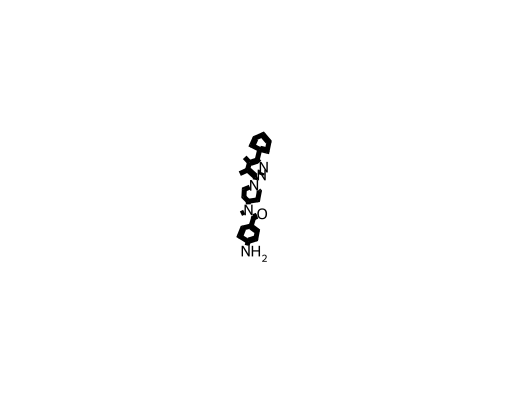 Cc1c(-c2ccccc2)nnc(N2CCC(N(C)C(=O)c3ccc(N)cc3)CC2)c1C